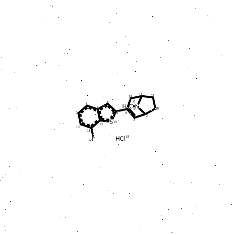 CN1C2C=C(c3cc4cccc(F)c4s3)CC1CC2.Cl